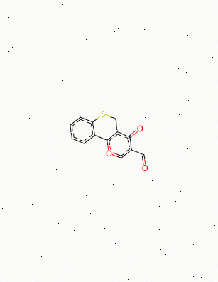 O=Cc1coc2c(c1=O)CSc1ccccc1-2